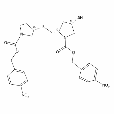 O=C(OCc1ccc([N+](=O)[O-])cc1)N1CC[C@H](SC[C@@H]2C[C@H](S)CN2C(=O)OCc2ccc([N+](=O)[O-])cc2)C1